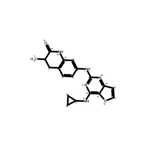 CC1Cc2ccc(Nc3nc(NC4CC4)c4occc4n3)cc2NC1=O